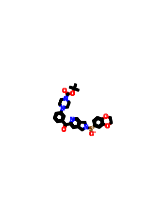 CC(C)(C)OC(=O)N1CCN(c2cccc(C(=O)c3cc4c(cn3)CN([S+]([O-])c3ccc5c(c3)OCCO5)C4)c2)CC1